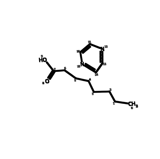 CCCCCCCC(=O)O.c1cnccn1